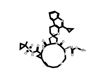 CC(C)(C)OC(=O)N[C@H]1CCCCC/C=C\C2CC2(C(=O)NS(=O)(=O)C2(C)CC2)NC(=O)C2C[C@]3(CCc4c(c(C5CC5)nc5ccccc45)O3)CN2C1=O